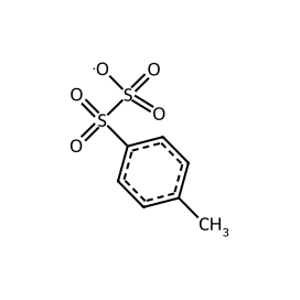 Cc1ccc(S(=O)(=O)S([O])(=O)=O)cc1